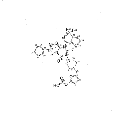 Cc1c(N2CCN(Cc3ccc(OC(=O)O)o3)CC2)c(=O)n(C[C@H](N)c2ccccc2)c(=O)n1Cc1c(F)cccc1C(F)(F)F